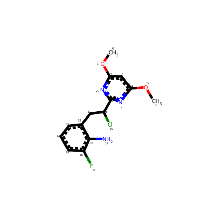 COc1cc(OC)nc(C(Cl)Cc2cccc(F)c2N)n1